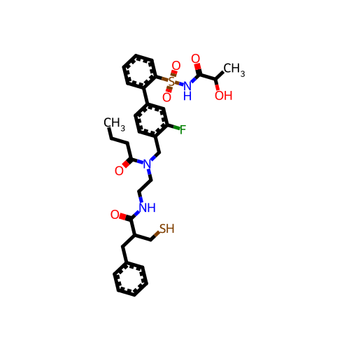 CCCC(=O)N(CCNC(=O)C(CS)Cc1ccccc1)Cc1ccc(-c2ccccc2S(=O)(=O)NC(=O)C(C)O)cc1F